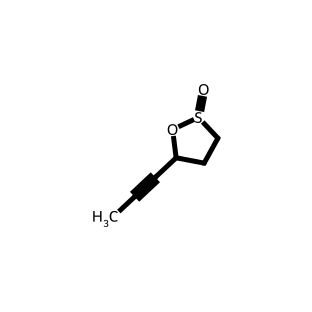 CC#CC1CCS(=O)O1